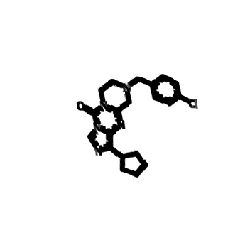 O=c1n2c(nc3c(C4CCCC4)ncn13)CN(Cc1ccc(Cl)cc1)CC2